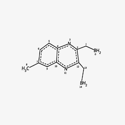 BCc1nc2ccc(C)cc2nc1CB